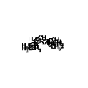 CC(C)C(CN(C)C(=O)OC(C)(C)C)c1ccc(B2OC(C)(C)C(C)(C)O2)cc1